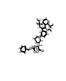 CCn1c(-c2cccnc2C(C)C)c(CC(C)(C)CC)c2cc(N3CCC[C@@H](C[C@H](NC(=O)OCc4ccccc4)C(=O)O)C3)ccc21